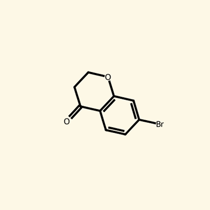 O=C1CCOc2cc(Br)ccc21